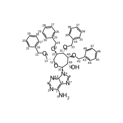 Nc1ncnc2c1ncn2[C@H]1O[C@H](COCc2ccccc2)[C@@H](OCc2ccccc2)[C@H](OCc2ccccc2)[C@@H](OCc2ccccc2)[C@@H]1O